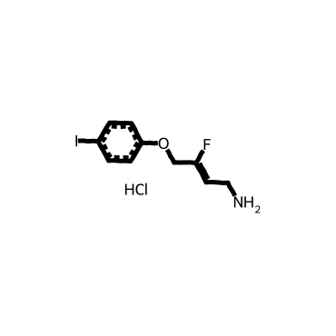 Cl.NCC=C(F)COc1ccc(I)cc1